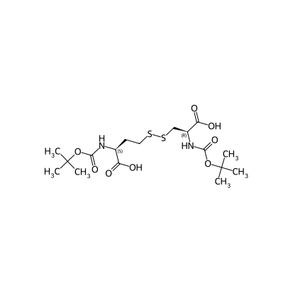 CC(C)(C)OC(=O)N[C@@H](CCSSC[C@H](NC(=O)OC(C)(C)C)C(=O)O)C(=O)O